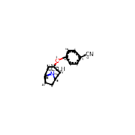 N#Cc1ccc(OC2CC3CCC(C2)N3C(=O)O)cc1